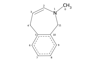 CN1C=CCc2ccccc2C1